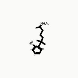 CC(=O)NC(C)CCCC(C)(C)c1ccccc1O